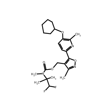 Cc1nc(-c2onc(C)c2COC(=O)N(C)C(C)(C)C(F)F)ccc1OC1CCCCC1